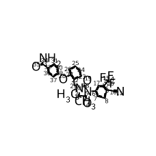 CC1(C)C(=O)N(c2ccc(C#N)c(C(F)(F)F)c2)C(=O)N1Cc1ccccc1Oc1ccc(C(N)=O)cc1